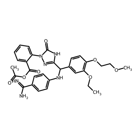 CCOc1cc(C(Nc2ccc(C(=N)N)cc2)c2nn(-c3ccccc3C(=O)OC(C)=O)c(=O)[nH]2)ccc1OCCOC